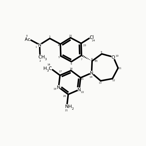 CC(=O)N(C)Cc1ccc([C@@H]2COCCCN2c2cc(C)nc(N)n2)c(Cl)c1